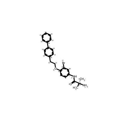 [CH2][C@@](C)(N)C(=O)Nc1ccc(OCCc2ccc(-c3ccccc3)cc2)c(Br)c1